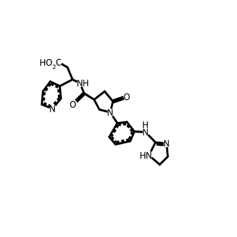 O=C(O)CC(NC(=O)C1CC(=O)N(c2cccc(NC3=NCCN3)c2)C1)c1cccnc1